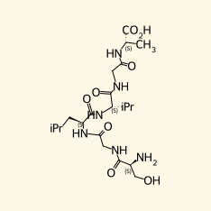 CC(C)C[C@H](NC(=O)CNC(=O)[C@@H](N)CO)C(=O)N[C@H](C(=O)NCC(=O)N[C@@H](C)C(=O)O)C(C)C